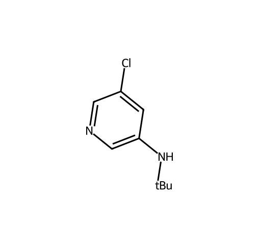 CC(C)(C)Nc1cncc(Cl)c1